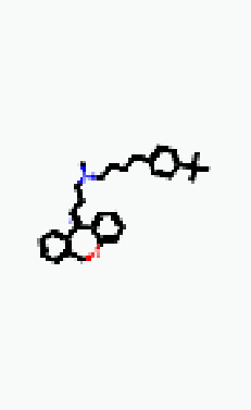 CN(CC/C=C1/c2ccccc2COc2ccccc21)CCCCc1ccc(C(C)(C)C)cc1